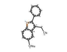 COc1ccc2sc(-c3ccccc3)c(CC#N)c2c1